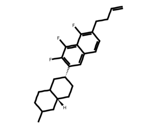 C=CCCc1ccc2cc([C@@H]3CC[C@@H]4CC(C)CCC4C3)c(F)c(F)c2c1F